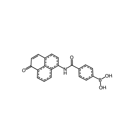 O=C(Nc1ccc2c3c(cccc13)C(=O)C=C2)c1ccc(B(O)O)cc1